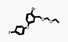 CCOCOCc1cc(Oc2ccc(F)cc2)ccc1Br